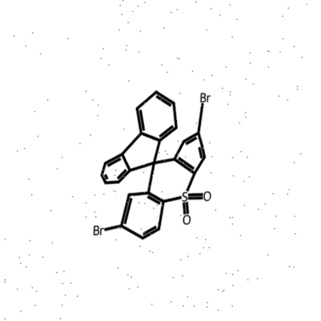 O=S1(=O)c2ccc(Br)cc2C2(c3ccccc3-c3ccccc32)c2cc(Br)ccc21